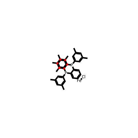 Cc1cc(C)cc(P(c2cc(C)cc(C)c2)c2ccccc2P(c2cc(C)cc(C)c2)c2cc(C)cc(C)c2)c1.[Cl][Fe]